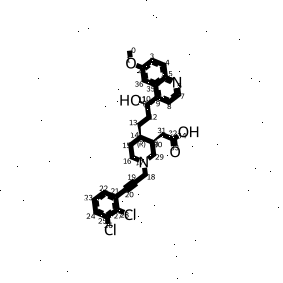 COc1ccc2nccc([C@@H](O)CC[C@@H]3CCN(CC#Cc4cccc(Cl)c4Cl)C[C@@H]3CC(=O)O)c2c1